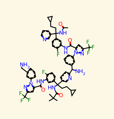 CC(=O)NC(CCC1CC1)(c1cccnc1)c1ccc(F)c(NC(=O)c2cc(C(F)(F)F)nn2-c2cccc(C(N)c3ccc(C(CCC4CC4)(NC(=O)C(C)(C)C)c4ccc(F)c(NC(=O)c5cc(C(F)(F)F)nn5-c5cccc(CN)c5)c4)cn3)c2)c1